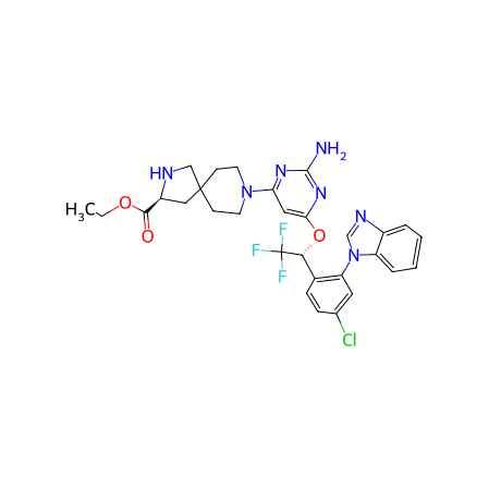 CCOC(=O)[C@@H]1CC2(CCN(c3cc(O[C@H](c4ccc(Cl)cc4-n4cnc5ccccc54)C(F)(F)F)nc(N)n3)CC2)CN1